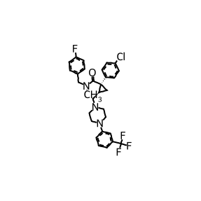 CN(Cc1ccc(F)cc1)C(=O)[C@@]1(c2ccc(Cl)cc2)C[C@H]1CN1CCN(c2cccc(C(F)(F)F)c2)CC1